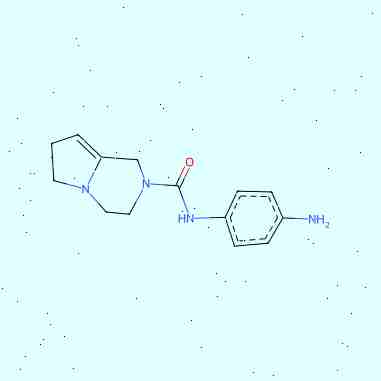 Nc1ccc(NC(=O)N2CCN3CCC=C3C2)cc1